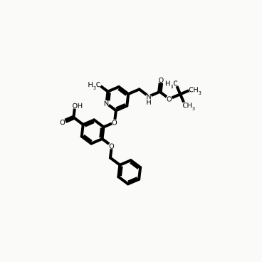 Cc1cc(CNC(=O)OC(C)(C)C)cc(Oc2cc(C(=O)O)ccc2OCc2ccccc2)n1